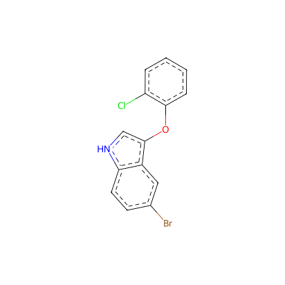 Clc1ccccc1Oc1c[nH]c2ccc(Br)cc12